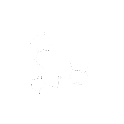 Cc1cccc(NCC2=NCCN2C=Nc2ccccn2)c1C